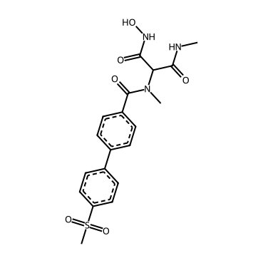 CNC(=O)C(C(=O)NO)N(C)C(=O)c1ccc(-c2ccc(S(C)(=O)=O)cc2)cc1